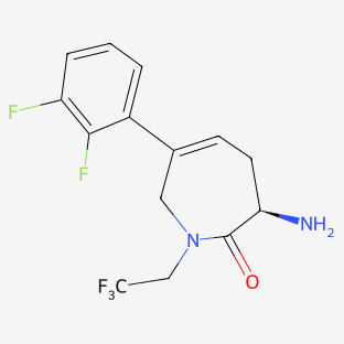 N[C@@H]1CC=C(c2cccc(F)c2F)CN(CC(F)(F)F)C1=O